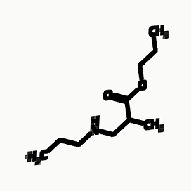 [CH2]CCNCC(C)C(=O)OCCC